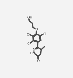 CC1CC(=O)NN=C1c1cc(Cl)c(OCCCO)c(Cl)c1Cl